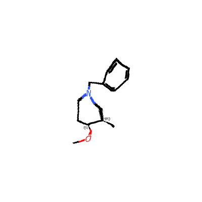 CO[C@H]1CCN(Cc2ccccc2)C[C@H]1C